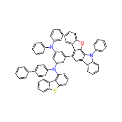 c1ccc(-c2ccc(N(c3cc(-c4cc5c6ccccc6n(-c6ccccc6)c5c5oc6ccccc6c45)cc(N(c4ccccc4)c4ccccc4)c3)c3cccc4sc5ccccc5c34)cc2)cc1